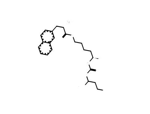 CC(=O)N[C@@H](Cc1ccc2ccccc2c1)C(=O)NCCCC[C@H](NC(=O)NC(CCC(=O)O)C(=O)O)C(=O)O